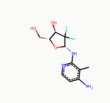 Cc1c(N)ccnc1N[C@@H]1O[C@H](CO)[C@@H](O)C1(F)F